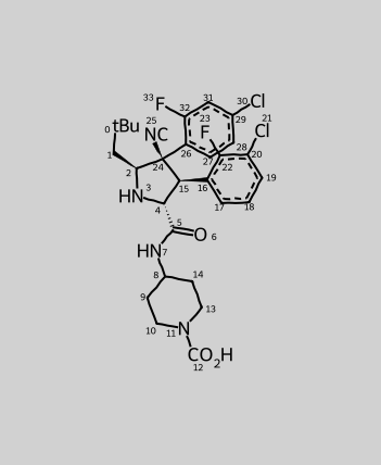 CC(C)(C)C[C@@H]1N[C@@H](C(=O)NC2CCN(C(=O)O)CC2)[C@H](c2cccc(Cl)c2F)[C@@]1(C#N)c1ccc(Cl)cc1F